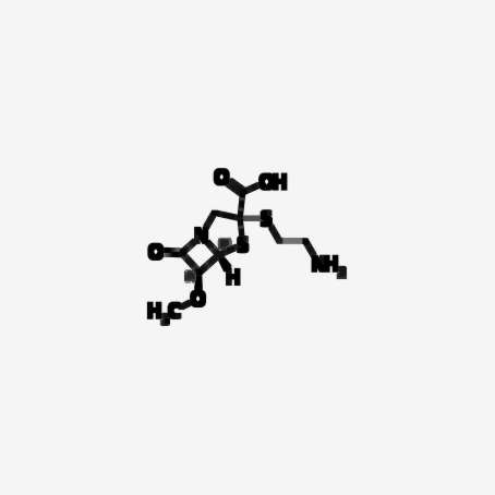 CO[C@H]1C(=O)N2CC(SCCN)(C(=O)O)S[C@H]12